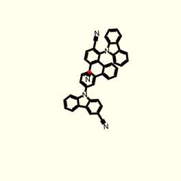 N#Cc1ccc2c(c1)c1ccccc1n2-c1cccc(-c2ccccc2-c2c(C#N)ccc(C#N)c2-n2c3ccccc3c3ccccc32)c1